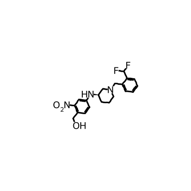 O=[N+]([O-])c1cc(N[C@@H]2CCCN(Cc3ccccc3C(F)F)C2)ccc1CO